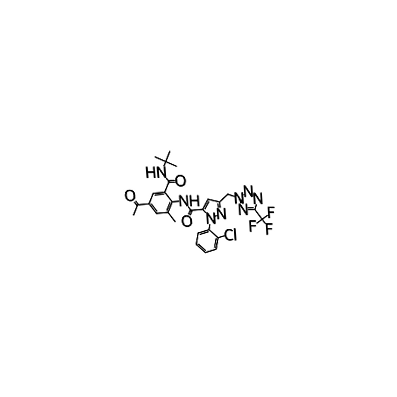 CC(=O)c1cc(C)c(NC(=O)c2cc(Cn3nnc(C(F)(F)F)n3)nn2-c2ccccc2Cl)c(C(=O)NC(C)(C)C)c1